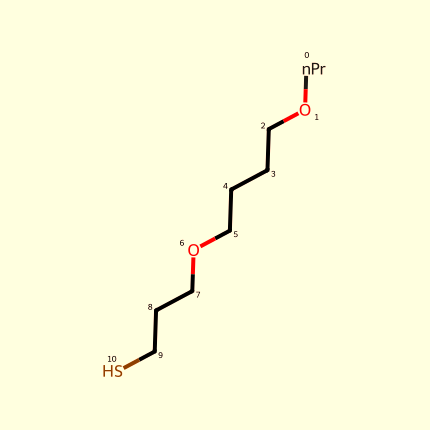 CCCOCCCCOCCCS